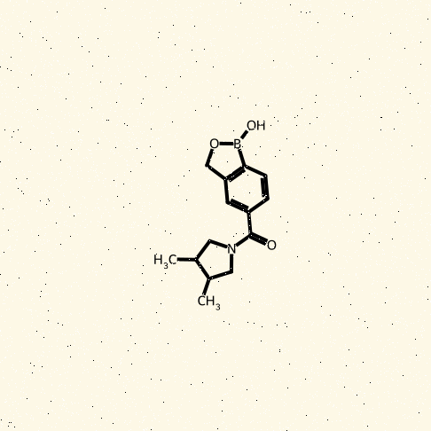 CC1CN(C(=O)c2ccc3c(c2)COB3O)CC1C